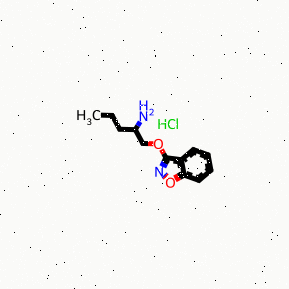 CCCC(N)COc1noc2ccccc12.Cl